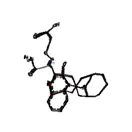 NC(=O)/C(=N\OCC(=O)O)c1nc2ccccc2n(C2CC3CCCC(C2)N3C2CC3CCCC(C3)C2)c1=O